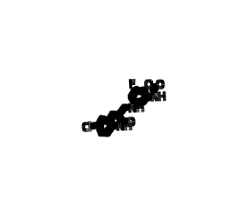 O=c1[nH]c2cc(NCc3cc4cc(Cl)ccc4[nH]c3=O)cc(F)c2o1